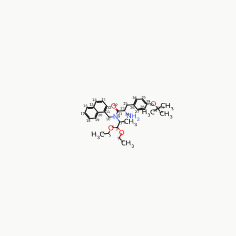 CCOC(OCC)[C@H](C)N(Cc1cccc2ccccc12)C(=O)[C@@H](N)Cc1ccc(OC(C)(C)C)cc1